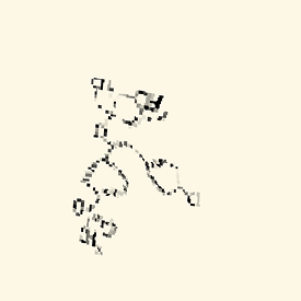 CCC1(CC)OC(c2ccc(S(C)(=O)=O)cc2)=C(c2ccc(Cl)cc2)C1=O